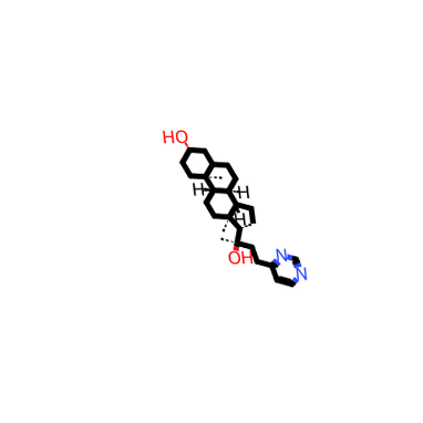 C[C@]12CC[C@H]3[C@@H](CCC4C[C@@H](O)CC[C@@]43C)[C@@H]1CC[C@@H]2[C@](C)(O)CCc1ccncn1